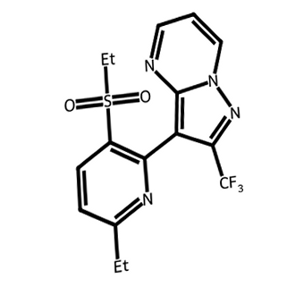 CCc1ccc(S(=O)(=O)CC)c(-c2c(C(F)(F)F)nn3cccnc23)n1